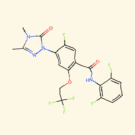 Cc1nn(-c2cc(OCC(F)(F)F)c(C(=O)Nc3c(F)cccc3F)cc2F)c(=O)n1C